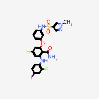 Cn1cc(S(=O)(=O)Nc2cccc(Oc3cc(F)cc(Nc4ccc(I)cc4F)c3C(N)=O)c2)cn1